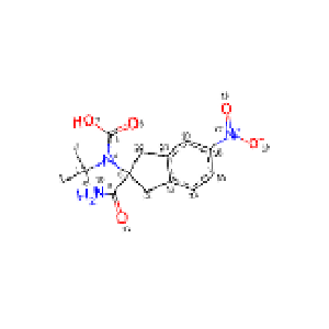 CC(C)(C)N(C(=O)O)C1(C(N)=O)Cc2ccc([N+](=O)[O-])cc2C1